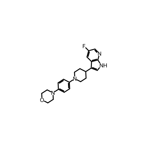 Fc1cnc2[nH]cc(C3CCN(c4ccc(N5CCOCC5)cc4)CC3)c2c1